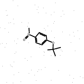 C[Si](=O)c1ccc(OC(C)(C)C)cc1